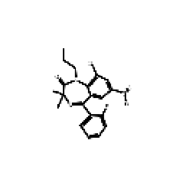 CCCN1C(=O)C(C)(C)N=C(c2ccccc2F)c2cc([N+](=O)[O-])cc(Cl)c21